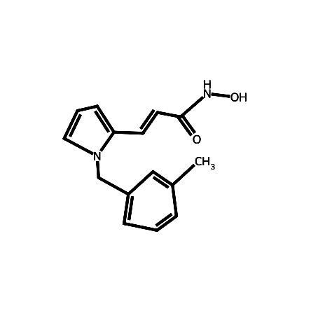 Cc1cccc(Cn2cccc2C=CC(=O)NO)c1